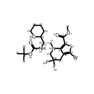 COC(=O)c1sc(Br)c2c1N(C[C@H](NC(=O)OC(C)(C)C)C1CCCCO1)CC(F)(F)C2